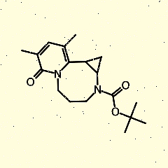 Cc1cc(C)c(=O)n2c1C1CC1N(C(=O)OC(C)(C)C)CCC2